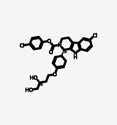 O=C(Oc1ccc(Cl)cc1)N1CCc2c([nH]c3ccc(Cl)cc23)[C@@H]1C1C=CC(OCC[C@H](O)CO)=CC1